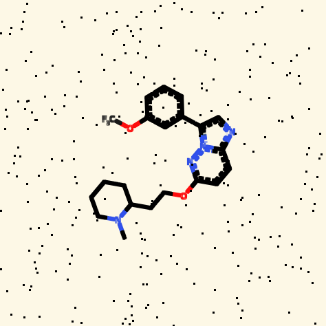 CN1CCCCC1CCOc1ccc2ncc(-c3cccc(OC(F)(F)F)c3)n2n1